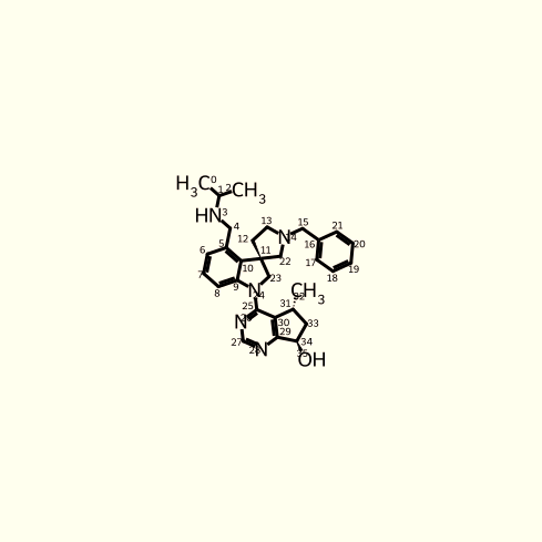 CC(C)NCc1cccc2c1[C@@]1(CCN(Cc3ccccc3)C1)CN2c1ncnc2c1[C@H](C)C[C@H]2O